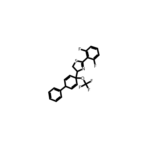 Fc1cccc(F)c1C1=NC(C2(OC(F)(F)F)C=CC(c3ccccc3)C=C2)CS1